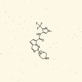 Cn1cc(NC(=O)c2ccc3cnc(N4C5CCC4CNC5)nn23)c(C(F)(F)F)n1